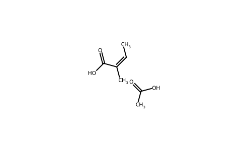 CC(=O)O.CC=C(C)C(=O)O